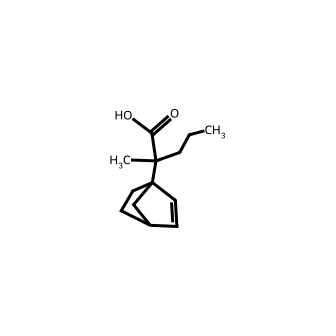 CCCC(C)(C(=O)O)C12C=CC(CC1)C2